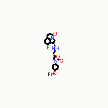 CCOc1ccc(N2C[C@@H](CCNC[C@@H]3Cn4c(=O)ccc5ccc(F)c3c54)OC2=O)cc1